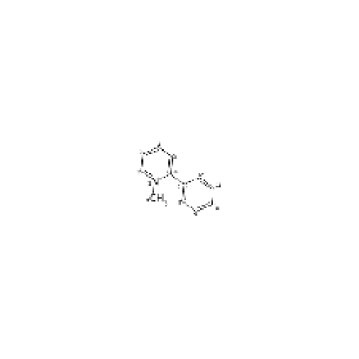 C[n+]1ccccc1-c1cc[c]cc1